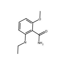 CC[N]c1cccc(OC)c1C(N)=O